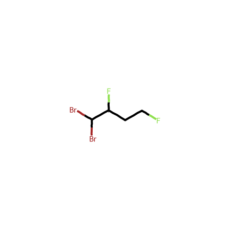 FCC[C](F)C(Br)Br